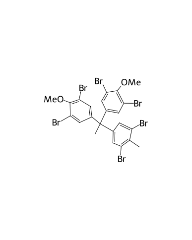 COc1c(Br)cc(C(C)(c2cc(Br)c(C)c(Br)c2)c2cc(Br)c(OC)c(Br)c2)cc1Br